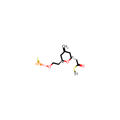 C=C1C[C@H](CC(=O)SCC)O[C@@H](CCOB=[PH]=S)C1